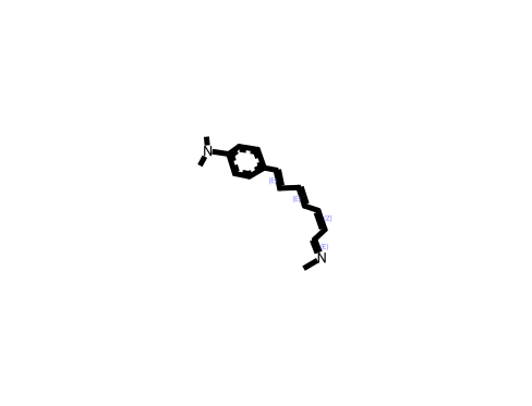 C/N=C/C=C\C=C\C=C\c1ccc(N(C)C)cc1